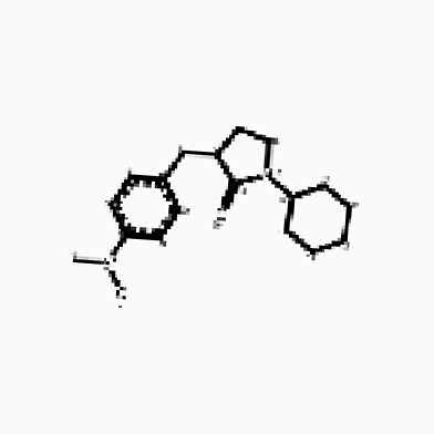 C[S+]([O-])c1ccc(CC2CCN(C3CCCCC3)C2=O)cc1